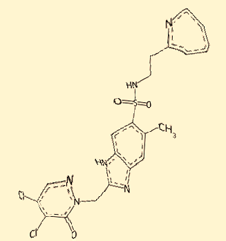 Cc1cc2nc(Cn3ncc(Cl)c(Cl)c3=O)[nH]c2cc1S(=O)(=O)NCCc1ccccn1